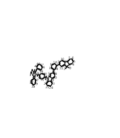 CC1(C)c2ccccc2-c2ccc(-c3cccc(-c4ccc5c6ccccc6n(-c6ccc(-n7c(-c8ccccc8)nnc7-c7ccccc7)cc6)c5c4)c3)cc21